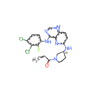 C=CC(=O)N1CC[C@H](Nc2ccc3ncnc(Nc4ccc(Cl)c(Cl)c4F)c3n2)C1